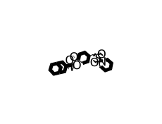 C[C@@]1(C2CC3CCCC(C3)C2)OO[C@]2(CC[C@@H](CS(=O)(=O)N3CCCCC3)CC2)O1